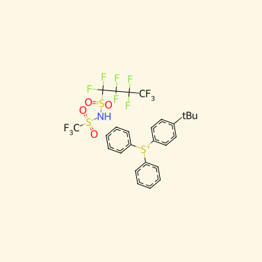 CC(C)(C)c1ccc([S+](c2ccccc2)c2ccccc2)cc1.O=S(=O)(NS(=O)(=O)C(F)(F)C(F)(F)C(F)(F)C(F)(F)F)C(F)(F)F